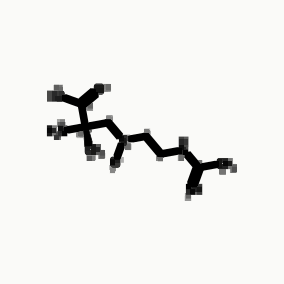 CC(=N)NCC[S+]([O-])C[C@](C)(N)C(=O)O